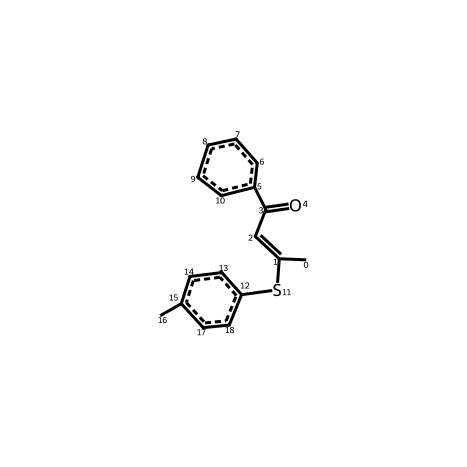 C/C(=C\C(=O)c1ccccc1)Sc1ccc(C)cc1